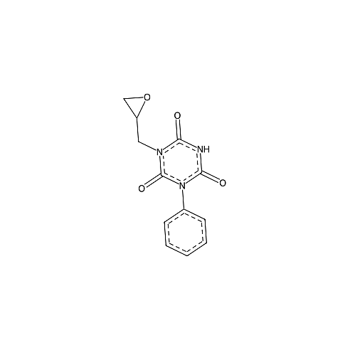 O=c1[nH]c(=O)n(-c2ccccc2)c(=O)n1CC1CO1